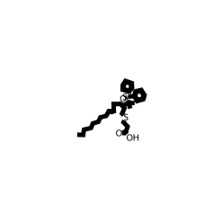 CCCCCCCC/C=C/CC(CCSCCC(=O)O)O[Si](c1ccccc1)(c1ccccc1)C(C)(C)C